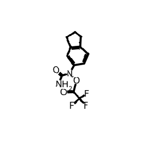 NC(=O)N(OC(=O)C(F)(F)F)c1ccc2c(c1)CCC2